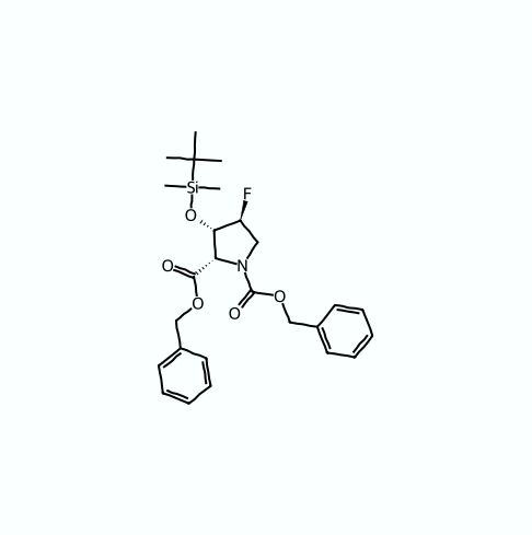 CC(C)(C)[Si](C)(C)O[C@H]1[C@@H](C(=O)OCc2ccccc2)N(C(=O)OCc2ccccc2)C[C@@H]1F